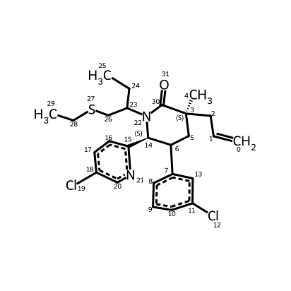 C=CC[C@@]1(C)CC(c2cccc(Cl)c2)[C@@H](c2ccc(Cl)cn2)N(C(CC)CSCC)C1=O